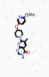 COc1ccc(OC2CCN(c3nc4ncn(C)c(=O)c4cc3C)CC2)cn1